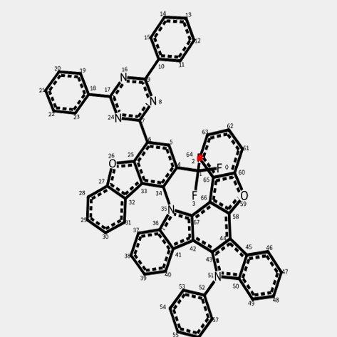 FC(F)(F)c1cc(-c2nc(-c3ccccc3)nc(-c3ccccc3)n2)c2oc3ccccc3c2c1-n1c2ccccc2c2c3c(c4ccccc4n3-c3ccccc3)c3oc4ccccc4c3c21